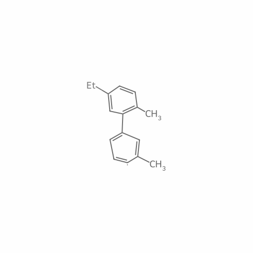 CCc1ccc(C)c(-c2cc[c]c(C)c2)c1